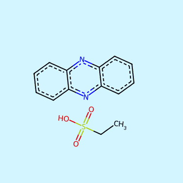 CCS(=O)(=O)O.c1ccc2nc3ccccc3nc2c1